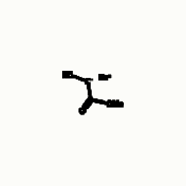 COC(=O)[CH-]C#N.[Na+]